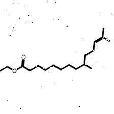 CCOC(=O)CCCCCCCC(C)CCC=C(C)C